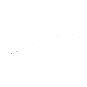 C=CC(=O)NCC(=O)OC1(C)C2CC3CC(C2)CC1C3